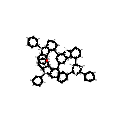 c1ccc(-c2nc(-c3ccccc3)nc(-c3cccc4oc5c(-c6cccc7c6c6ccccc6n7-c6ccccc6)cc(-c6cccc7c6c6ccccc6n7-c6ccccc6)cc5c34)n2)cc1